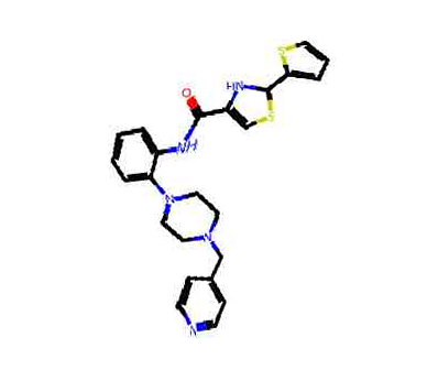 O=C(Nc1ccccc1N1CCN(Cc2ccncc2)CC1)C1=CSC(c2cccs2)N1